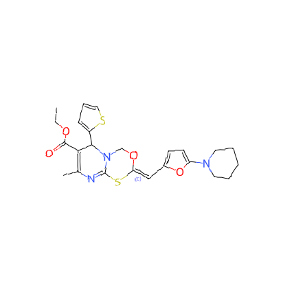 CCOC(=O)C1=C(C)N=C2S/C(=C/c3ccc(N4CCCCC4)o3)OCN2C1c1cccs1